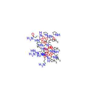 CC(C)[C@H](NC(=O)[C@@H]1CCCN1)C(=O)N1CCC[C@H]1C(=O)N[C@@H](CCC(N)=O)C(=O)N[C@@H](C)C(=O)N[C@@H](CCCCN)C(=O)N1CCC[C@H]1C(=O)N[C@@H](CCCNC(=N)N)C(=O)N[C@@H](CCCCN)C(=O)N[C@@H](C)C(=O)N[C@@H](C)C(=O)N[C@@H](C)C(=O)N[C@@H](CCC(N)=O)C(=O)O